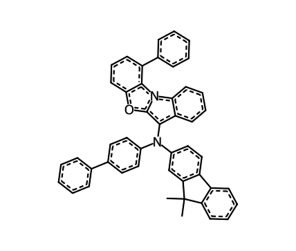 CC1(C)c2ccccc2-c2ccc(N(c3ccc(-c4ccccc4)cc3)c3c4ccccc4n4c3oc3cccc(-c5ccccc5)c34)cc21